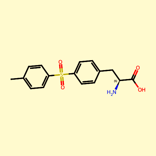 Cc1ccc(S(=O)(=O)c2ccc(C[C@H](N)C(=O)O)cc2)cc1